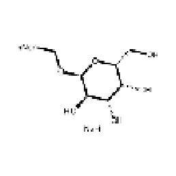 CCCCCCCCCCO[C@H]1O[C@H](CO)[C@H](O)[C@H](O)[C@H]1O.[NaH]